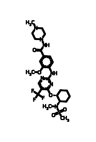 COc1cc(C(=O)NN2CCN(C)CC2)ccc1Nc1ncc(C(F)(F)F)c(O[C@@H]2CCCC[C@H]2N(C)S(C)(=O)=O)n1